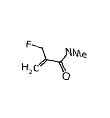 C=C(CF)C(=O)NC